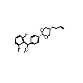 C=CCC[C@H]1CO[C@H](c2ccc(C(OC)c3c(F)cccc3F)cc2)OC1